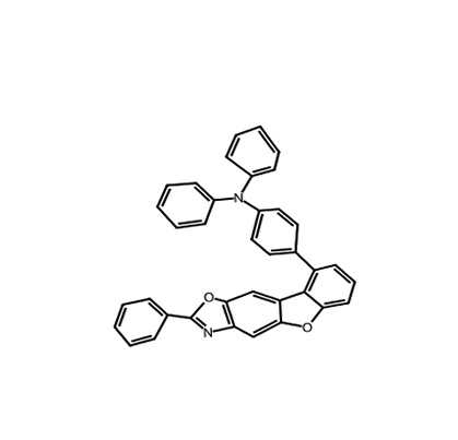 c1ccc(-c2nc3cc4oc5cccc(-c6ccc(N(c7ccccc7)c7ccccc7)cc6)c5c4cc3o2)cc1